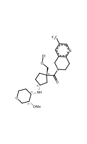 CCOC[C@]1(C(=O)N2CCc3ncc(C(F)(F)F)cc3C2)CC[C@@H](N[C@H]2CCOC[C@H]2OC)C1